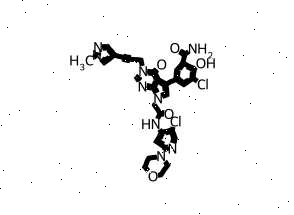 Cn1cc(C#CCn2cnc3c(c(-c4cc(Cl)c(O)c(C(N)=O)c4)cn3CC(=O)Nc3cc(N4CCOCC4)ncc3Cl)c2=O)cn1